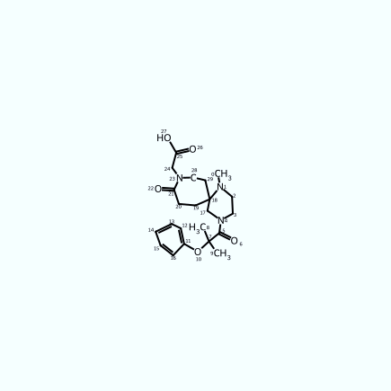 CN1CCN(C(=O)C(C)(C)Oc2ccccc2)CC12CCC(=O)N(CC(=O)O)CC2